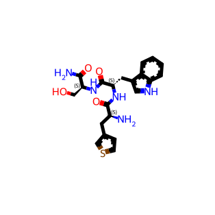 NC(=O)[C@H](CO)NC(=O)[C@H](Cc1c[nH]c2ccccc12)NC(=O)[C@@H](N)Cc1ccsc1